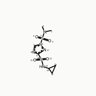 CN(C)S(=O)(=O)n1cnc(S(=O)(=O)NC2CC2)n1